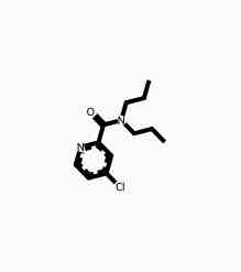 CCCN(CCC)C(=O)c1cc(Cl)ccn1